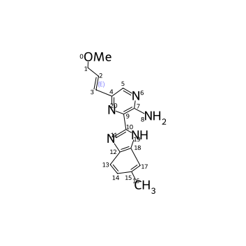 COC/C=C/c1cnc(N)c(-c2nc3ccc(C)cc3[nH]2)n1